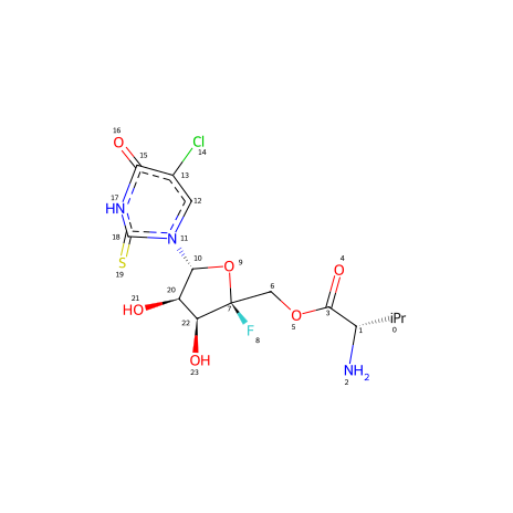 CC(C)[C@H](N)C(=O)OC[C@@]1(F)O[C@@H](n2cc(Cl)c(=O)[nH]c2=S)[C@H](O)[C@@H]1O